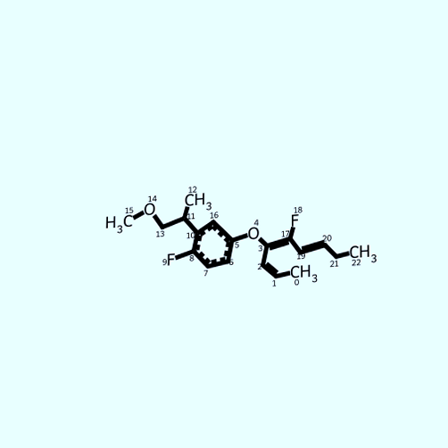 C\C=C/C(Oc1ccc(F)c(C(C)COC)c1)=C(F)\C=C\CC